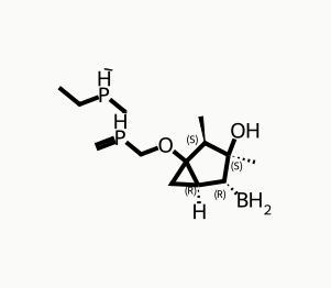 B[C@@H]1[C@H]2CC2(OC[PH](=C)C[PH](=C)CC)[C@@H](C)[C@@]1(C)O